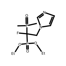 CCOP(=O)(OCC)C(F)(Cn1ccnc1)P(C)(C)=O